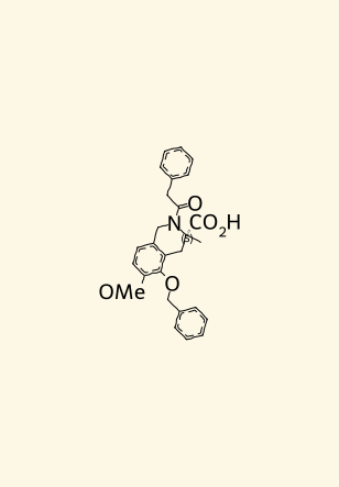 COc1ccc2c(c1OCc1ccccc1)C[C@@](C)(C(=O)O)N(C(=O)Cc1ccccc1)C2